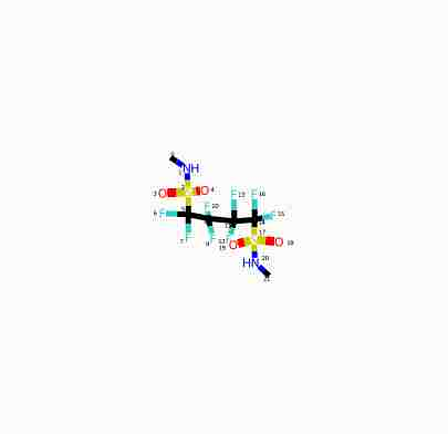 CNS(=O)(=O)C(F)(F)C(F)(F)C(F)(F)C(F)(F)S(=O)(=O)NC